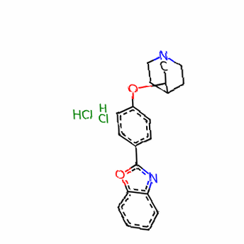 Cl.Cl.c1ccc2oc(-c3ccc(OC4CN5CCC4CC5)cc3)nc2c1